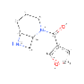 O=C(c1ccoc1)N1CCCC2NCC21